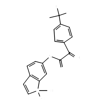 C=C(C(=O)Nc1ccc2c(c1)S(O)(O)C=C2)c1ccc(C(F)(F)F)cc1